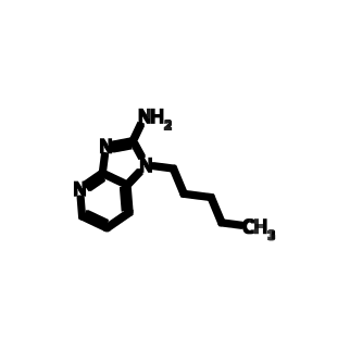 CCCCCn1c(N)nc2ncccc21